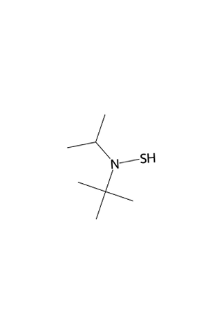 CC(C)N(S)C(C)(C)C